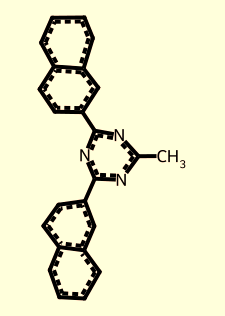 Cc1nc(-c2ccc3ccccc3c2)nc(-c2ccc3ccccc3c2)n1